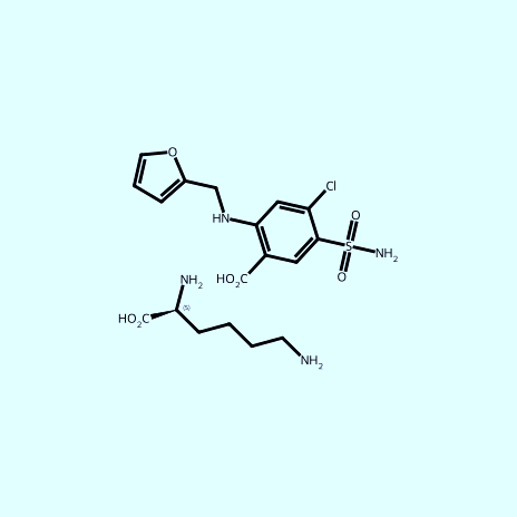 NCCCC[C@H](N)C(=O)O.NS(=O)(=O)c1cc(C(=O)O)c(NCc2ccco2)cc1Cl